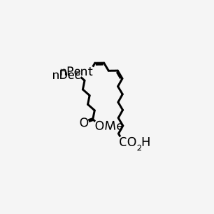 CCCCC/C=C\C/C=C\CCCCCCCC(=O)O.CCCCCCCCCCCCCCCC(=O)OC